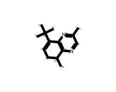 Cc1cnc2c(n1)C(C(C)(C)C)=CCC2C